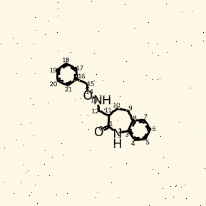 O=C1Nc2ccccc2CCC1CNOCc1ccccc1